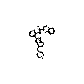 O=C(Nc1ncccc1-c1cn2c(CN3CCOCC3)csc2n1)c1cnc2ccccc2n1